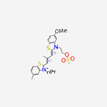 CCC[n+]1c(/C=C(C)/C=C2\Sc3ccc(OC)cc3N2CCOS(C)(=O)=O)sc2ccc(C)cc21